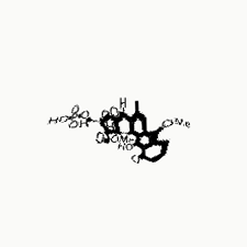 COc1c2c(c(O)c3c4c(c(C)cc13)[C@@H]1O[C@]3(COP(=O)(O)O)O[C@@H]1[C@@](OC)(O4)[C@@]31CO1)C(=O)CCC2